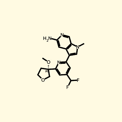 CO[C@@]1(c2cc(C(F)F)cc(-c3cn(C)c4cnc(N)cc34)n2)CCOC1